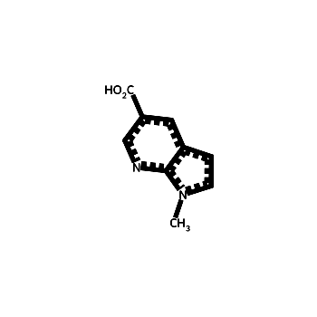 Cn1ccc2cc(C(=O)O)cnc21